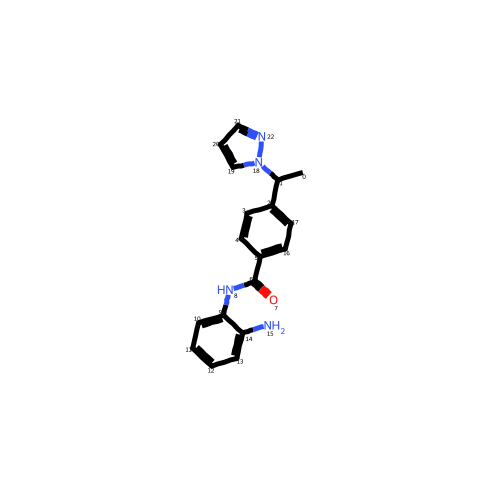 CC(c1ccc(C(=O)Nc2ccccc2N)cc1)n1cccn1